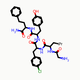 CC(C)CC(NC(=O)CN)C(=O)NC(Cc1ccc(Cl)cc1)C(=O)NC(Cc1ccc(O)cc1)C(=O)NC(CCc1ccccc1)C(N)=O